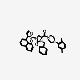 C=CC(c1cccc2ccccc12)S(=O)(=O)N1CC(C(=O)N2CCN(c3cc(C)ccc3C)CC2)N(Cc2ccccc2)C1=O